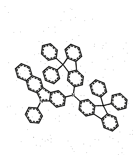 c1ccc(-n2c3ccc(N(c4ccc5c(c4)C(c4ccccc4)(c4ccccc4)c4ccccc4-5)c4ccc5c(c4)C(c4ccccc4)(c4ccccc4)c4ccccc4-5)cc3c3cc4ccccc4cc32)cc1